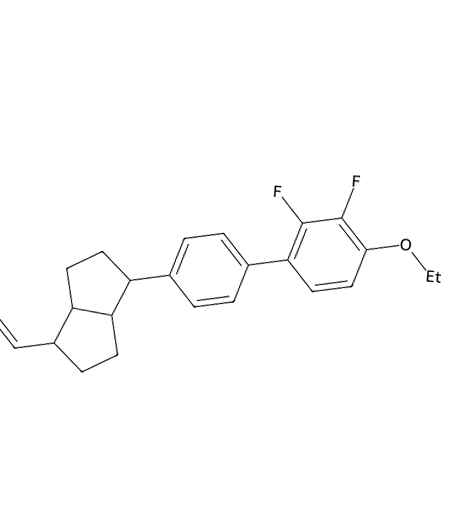 C=CC1CCC2C(c3ccc(-c4ccc(OCC)c(F)c4F)cc3)CCC12